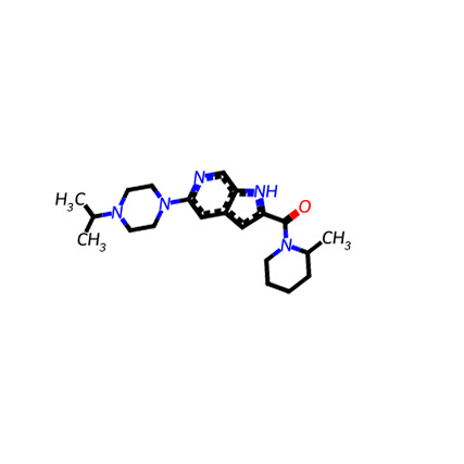 CC(C)N1CCN(c2cc3cc(C(=O)N4CCCCC4C)[nH]c3cn2)CC1